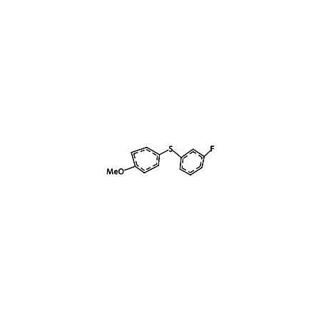 COc1ccc(Sc2cccc(F)c2)cc1